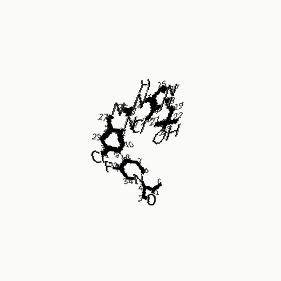 CC1OCC1N1CC[C@@H](c2cc3nc(Nc4cnn(CC(C)(C)O)c4Cl)ncc3cc2Cl)[C@H](F)C1